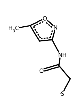 Cc1cc(NC(=O)C[S])no1